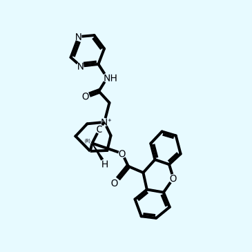 O=C(C[N+]12CCC(CC1)[C@@H](OC(=O)C1c3ccccc3Oc3ccccc31)C2)Nc1ccncn1